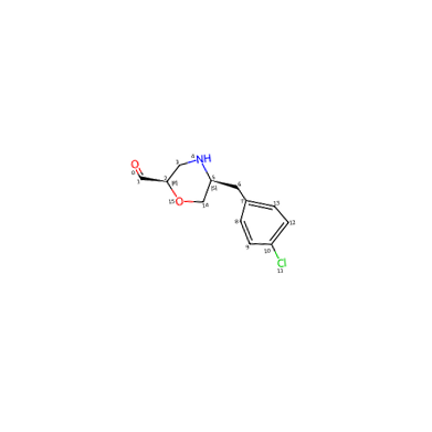 O=C[C@H]1CN[C@@H](Cc2ccc(Cl)cc2)CO1